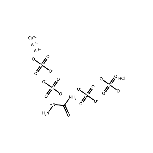 Cl.NNC(N)=O.O=S(=O)([O-])[O-].O=S(=O)([O-])[O-].O=S(=O)([O-])[O-].O=S(=O)([O-])[O-].[Al+3].[Al+3].[Cu+2]